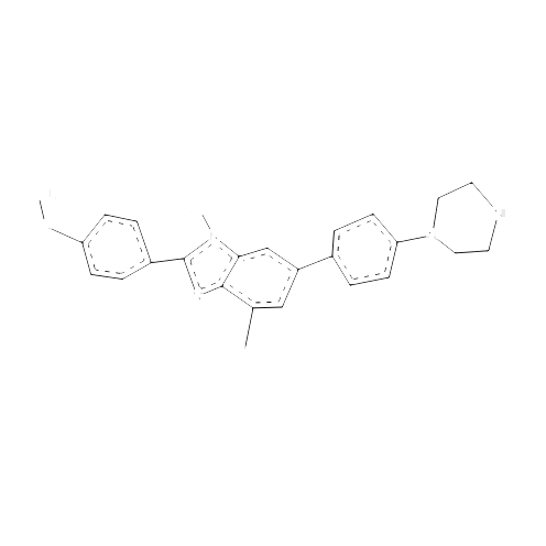 CSc1ccc(-c2nc3c(C)cc(-c4ccc(N5CCNCC5)cc4)cc3n2C)cc1